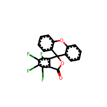 O=C1OC2(c3ccccc3Oc3ccccc32)c2c(F)c(F)c(F)c(F)c21